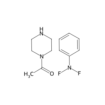 CC(=O)N1CCNCC1.FN(F)c1ccccc1